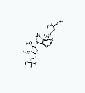 OCC(O)CNc1ncnc2c1ncn2[C@@H]1O[C@H](COC(F)(F)F)[C@@H](O)[C@H]1O